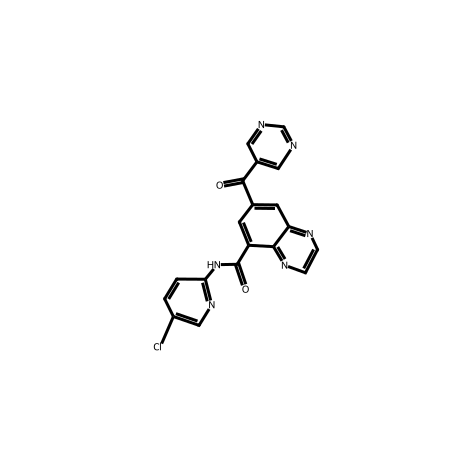 O=C(c1cncnc1)c1cc(C(=O)Nc2ccc(Cl)cn2)c2nccnc2c1